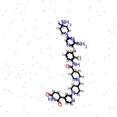 CC1(N)CCN(c2cnc(Sc3cccc(NC(=O)C4CCN(CC5CCN(c6cc(C7CCC(=O)NC7=O)ccn6)CC5)CC4)c3Cl)c(N)n2)CC1